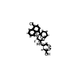 C[C@H](NC1(c2ccc(Cl)c3ccccc23)CCCCO1)C(=O)N[C@H](C=O)CC(=O)O